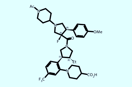 CC[C@H]1CN(C(=O)[C@]2(F)CN(C3CCN(C(C)=O)CC3)C[C@H]2c2ccc(OC)cc2)C[C@@H]1c1ccc(C(F)(F)F)cc1N1CCC(C(=O)O)CC1